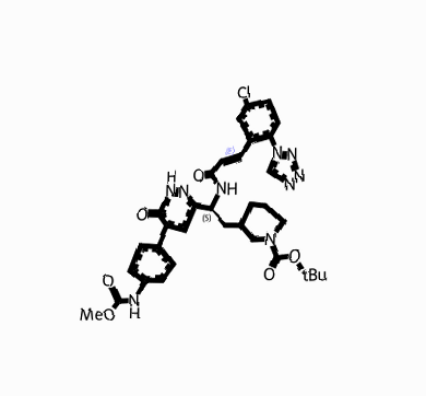 COC(=O)Nc1ccc(-c2cc([C@H](CC3CCCN(C(=O)OC(C)(C)C)C3)NC(=O)/C=C/c3cc(Cl)ccc3-n3cnnn3)n[nH]c2=O)cc1